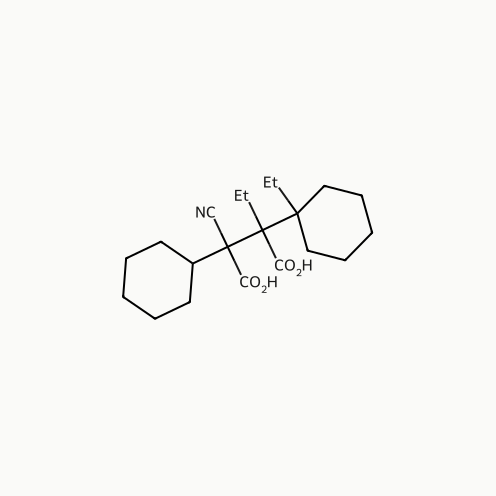 CCC1(C(CC)(C(=O)O)C(C#N)(C(=O)O)C2CCCCC2)CCCCC1